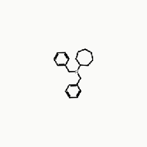 c1ccc(CN(Cc2ccccc2)C2CCCCCC2)cc1